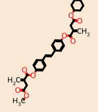 C=C(CC(=O)OC)C(=O)Oc1ccc(/C=C/c2ccc(OC(=O)C(=C)CC(=O)OC3CCCCC3)cc2)cc1